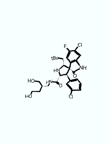 CC(C)(C)C[C@H]1N[C@@H](C(=O)NC[C@@H](CO)CCO)[C@H](c2cccc(Cl)c2)[C@@]12C(=O)Nc1cc(Cl)c(F)cc12